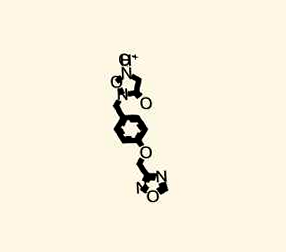 O=C1C[NH+]([O-])ON1Cc1ccc(OCc2ncon2)cc1